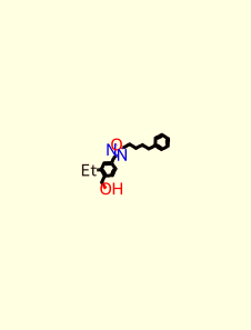 CCc1cc(-c2noc(CCCCc3ccccc3)n2)ccc1CO